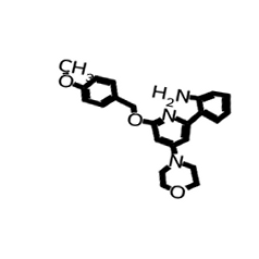 COc1ccc(COc2cc(N3CCOCC3)cc(-c3ccccc3N)n2)cc1